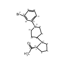 CC(=O)[C@@H]1CCCN1C1CCN(c2cccc(Br)c2)CC1